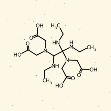 CCNC(N(CC(=O)O)CC(=O)O)C(NCC)(NCC)N(CC(=O)O)CC(=O)O